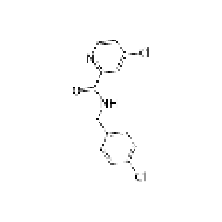 O=C(NCc1ccc(Cl)cc1)c1cc(Cl)ccn1